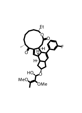 CC[C@H]1CCCC[C@@H](C)C(=O)C2=C[C@@H]3C(C(c4cccc(F)c4)=CC4C[C@@H](O[C@H](O)/C(OC)=C(/C)OC)C[C@H]43)[C@@H]2CC(=O)O1